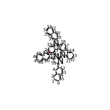 c1ccc2cc(C3=NC(n4c5ccccc5c5ccc6c(c7ccccc7n6-c6ccc7ccccc7c6)c54)=NC(c4ccc5ccccc5c4)C3)ccc2c1